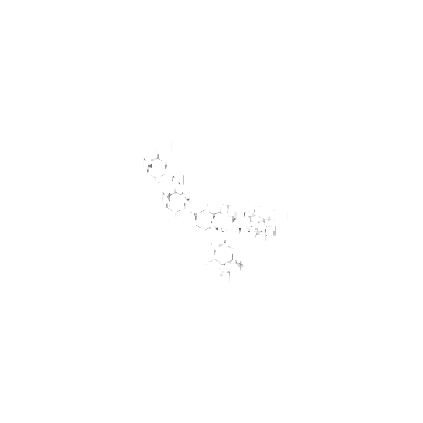 Cc1cc(Nc2nccc(-c3ccn([C@H](CO[Si](C)(C)C(C)(C)C)c4ccc(Cl)c(F)c4)c(=O)c3)n2)ccn1